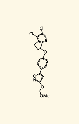 COCOc1cc(-c2ccc(OC3CCc4c3ccc(Cl)c4Cl)cc2)on1